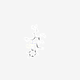 C=C(C)/C(CCC)=C(/C)N/C=C(/I)c1ccccc1N